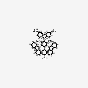 CC(C)(C)c1ccc(-c2c(-n3c4ccccc4c4ccccc43)c(C#N)c(-n3c4ccc(C(C)(C)C)cc4c4cc(C(C)(C)C)ccc43)c(C#N)c2-n2c3ccccc3c3ccccc32)cc1